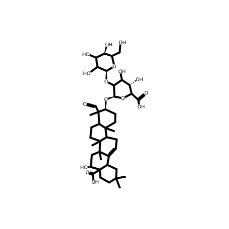 CC1(C)CCC2(C(=O)O)C(C1)C1=CCC3C4(C)CC[C@H](O[C@@H]5OC(C(=O)O)[C@@H](O)C(O)C5O[C@@H]5OC(CO)[C@H](O)C(O)C5O)C(C)(C=O)C4CCC3(C)C1(C)C[C@@H]2O